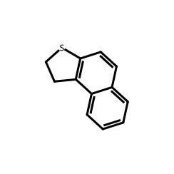 c1ccc2c3c(ccc2c1)SCC3